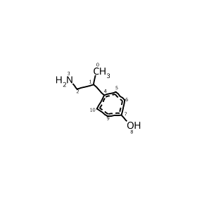 CC(CN)c1ccc(O)cc1